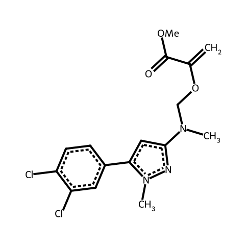 C=C(OCN(C)c1cc(-c2ccc(Cl)c(Cl)c2)n(C)n1)C(=O)OC